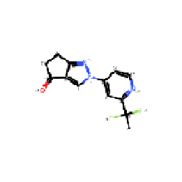 CC(F)(F)c1cc(-n2cc3c(n2)CCC3=O)ccn1